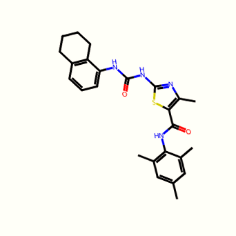 Cc1cc(C)c(NC(=O)c2sc(NC(=O)Nc3cccc4c3CCCC4)nc2C)c(C)c1